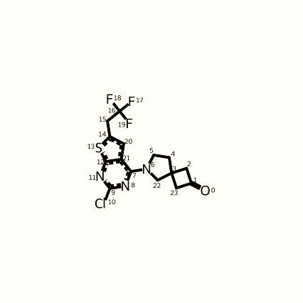 O=C1CC2(CCN(c3nc(Cl)nc4sc(CC(F)(F)F)cc34)C2)C1